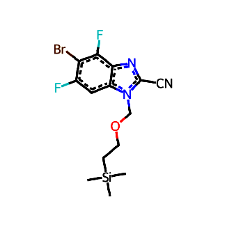 C[Si](C)(C)CCOCn1c(C#N)nc2c(F)c(Br)c(F)cc21